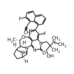 C#Cc1c(F)ccc2cccc(-c3nc4c5c(nc(=O)n(CC(C)(CO)N(C)C)c5c3F)N3C[C@H]5CC[C@H](N5)[C@H]3[C@H](C)O4)c12